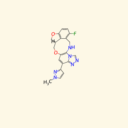 Cn1ccc(-c2cc3c(n4cnnc24)NCc2c(F)ccc4c2[C@H](CO4)CO3)n1